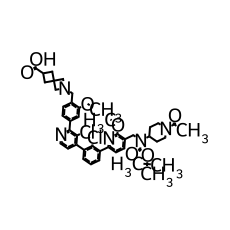 COc1cc(-c2nccc(-c3cccc(-c4ccc(CN(C(=O)OC(C)(C)C)C5CCN(C(C)=O)CC5)c(OC)n4)c3Cl)c2Cl)ccc1CN1CC2(CC(C(=O)O)C2)C1